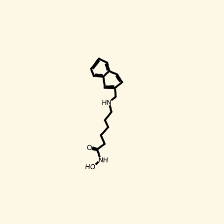 O=C(CCCCCNCc1ccc2ccccc2c1)NO